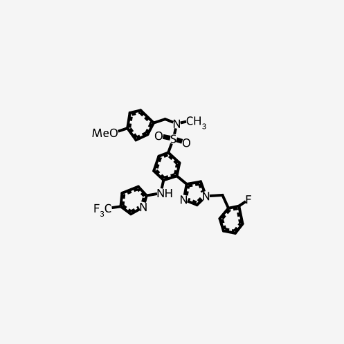 COc1ccc(CN(C)S(=O)(=O)c2ccc(Nc3ccc(C(F)(F)F)cn3)c(-c3cn(Cc4ccccc4F)cn3)c2)cc1